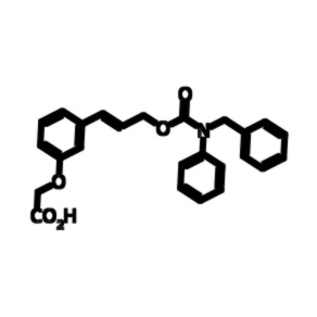 O=C(O)COc1cccc(/C=C/COC(=O)N(Cc2ccccc2)c2ccccc2)c1